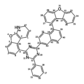 C1=Cc2c(oc3cccc(-c4nc(-c5ccccc5)nc(-c5ccc6c(-c7cccc8oc9ccccc9c78)cccc6c5)n4)c23)NC1